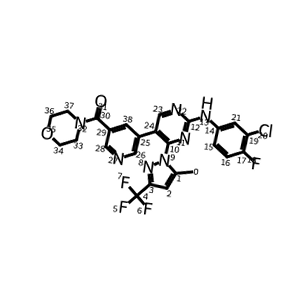 Cc1cc(C(F)(F)F)nn1-c1nc(Nc2ccc(F)c(Cl)c2)ncc1-c1cncc(C(=O)N2CCOCC2)c1